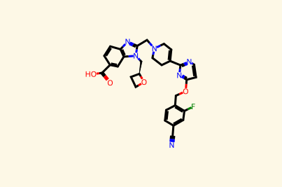 N#Cc1ccc(COc2ccnc(C3=CCN(Cc4nc5ccc(C(=O)O)cc5n4C[C@@H]4CCO4)CC3)n2)c(F)c1